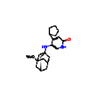 COC12CC3CC(CC(Nc4c[nH]c(=O)c5c4C4CCC5C4)(C3)C1)C2